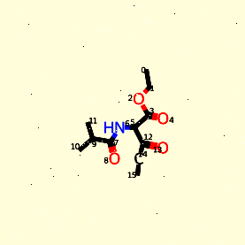 CCOC(=O)C(NC(=O)C(C)C)C(=O)CC